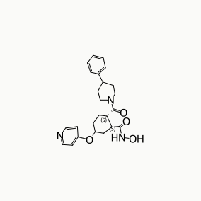 O=C(NO)[C@H]1CC(Oc2ccncc2)CC[C@@H]1C(=O)N1CCC(c2ccccc2)CC1